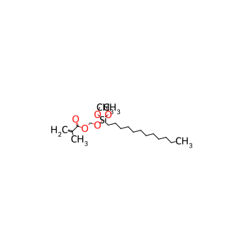 C=C(C)C(=O)OCO[Si](CCCCCCCCCCCC)(OC)OC